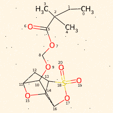 CCC(C)(C)C(=O)OCOC1C2CC3C(O2)C1OS3(=O)=O